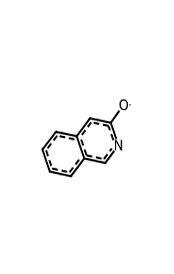 [O]c1cc2ccccc2cn1